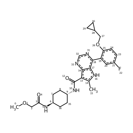 COCC(=O)N[C@H]1CC[C@H](NC(=O)c2c(C)[nH]c3c(-c4cc(F)ccc4OCC4CC4)ncnc23)CC1